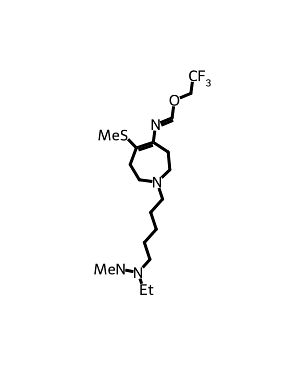 CCN(CCCCCN1CCC(/N=C/OCC(F)(F)F)=C(SC)CC1)NC